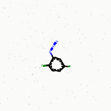 [N-]=[N+]=Nc1cc(F)ccc1F